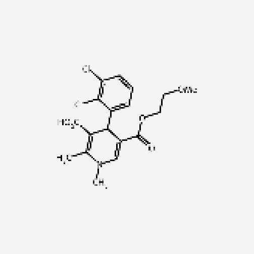 COCCOC(=O)C1=CN(C)C(C)=C(C(=O)O)C1c1cccc(Cl)c1Cl